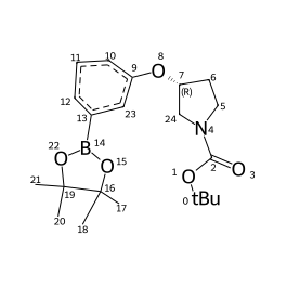 CC(C)(C)OC(=O)N1CC[C@@H](Oc2cccc(B3OC(C)(C)C(C)(C)O3)c2)C1